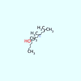 CCCCCC(C)(O)CCC/C(C)=C/CC=C(C)C